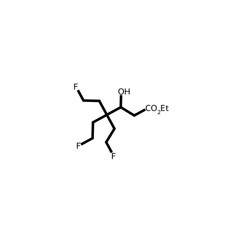 CCOC(=O)CC(O)C(CCF)(CCF)CCF